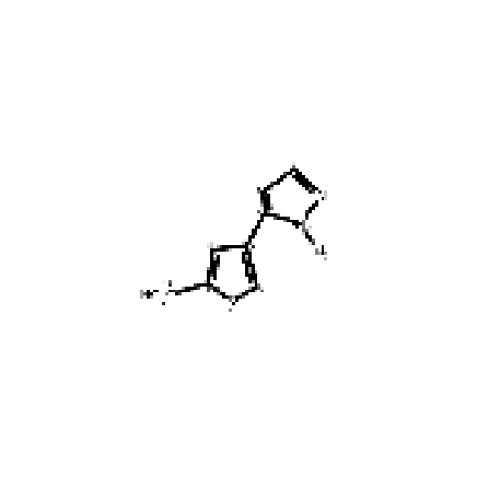 CCn1nccc1-c1csc(C(=O)O)c1